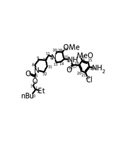 CCCCC(CC)COC(=O)N1CCC(CN2CCC(NC(=O)c3cc(Cl)c(N)cc3OC)C(OC)C2)CC1